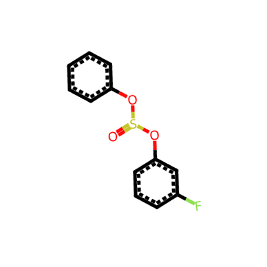 O=S(Oc1ccccc1)Oc1cccc(F)c1